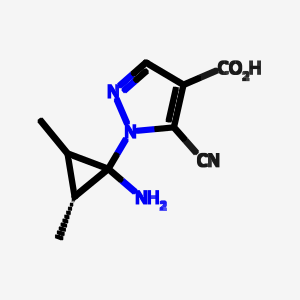 CC1[C@@H](C)C1(N)n1ncc(C(=O)O)c1C#N